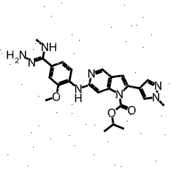 CN/C(=N\N)c1ccc(Nc2cc3c(cn2)cc(-c2cnn(C)c2)n3C(=O)OC(C)C)c(OC)c1